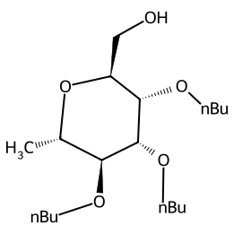 CCCCO[C@@H]1[C@@H](OCCCC)[C@H](C)O[C@@H](CO)[C@@H]1OCCCC